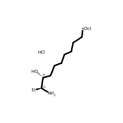 CCCCCCCCCCCCCCC[C@@H](O)[C@@H](N)CC.Cl